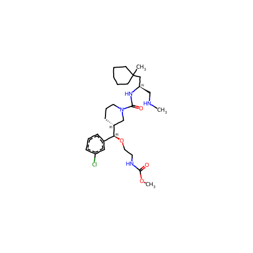 CNC[C@H](CC1(C)CCCCC1)NC(=O)N1CCC[C@@H]([C@@H](OCCNC(=O)OC)c2cccc(Cl)c2)C1